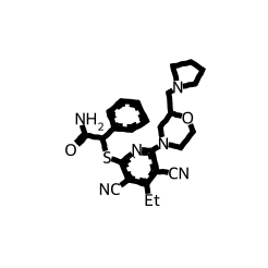 CCc1c(C#N)c(SC(C(N)=O)c2ccccc2)nc(N2CCOC(CN3CCCC3)C2)c1C#N